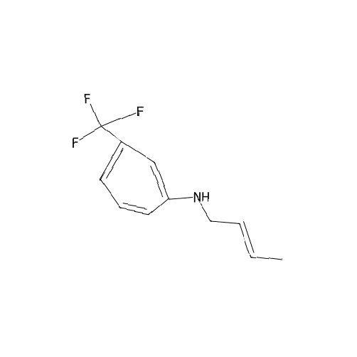 CC=CCNc1cccc(C(F)(F)F)c1